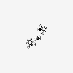 O=c1cccc(CCCCNOCc2cccc(=O)[nH]2)[nH]1